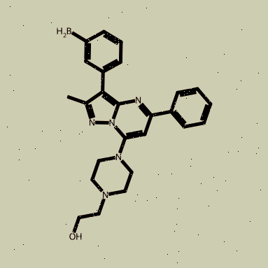 Bc1cccc(-c2c(C)nn3c(N4CCN(CCO)CC4)cc(-c4ccccc4)nc23)c1